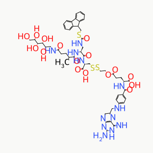 C[C@@H](CCC(=O)NC[C@H](O)[C@@H](O)[C@H](O)[C@H](O)CO)C(=O)N[C@@H](CNC(=O)SCC1c2ccccc2-c2ccccc21)C(=O)N[C@@H](CSSCCOC(=O)CC[C@H](NC(=O)c1ccc(NCc2cnc3nc(N)[nH]c(=N)c3n2)cc1)C(=O)O)C(=O)O